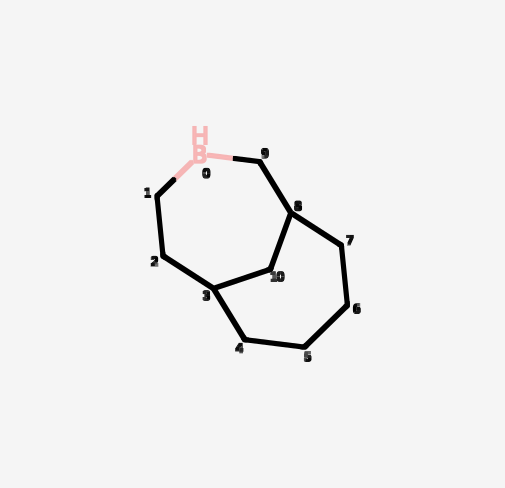 B1CCC2CCCCC(C1)C2